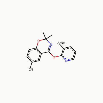 CC(=O)Nc1cccnc1OC1=NC(C)(C)Oc2ccc(C#N)cc21